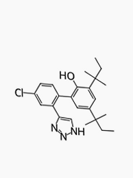 CCC(C)(C)c1cc(-c2ccc(Cl)cc2-c2c[nH]nn2)c(O)c(C(C)(C)CC)c1